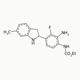 CCOC(=O)Nc1ccc(C2Cc3ccc(C)cc3N2)c(F)c1N